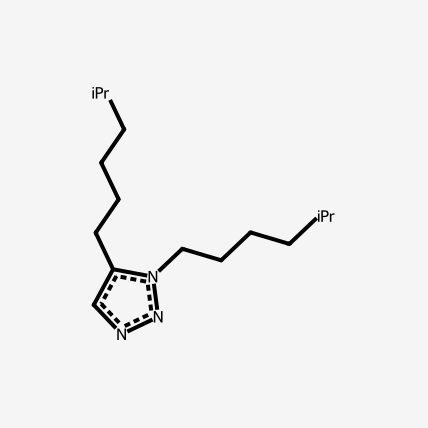 CC(C)CCCCc1cnnn1CCCCC(C)C